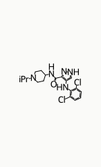 CC(C)N1CCC(NC(=O)c2n[nH]cc2Nc2c(Cl)cccc2Cl)CC1